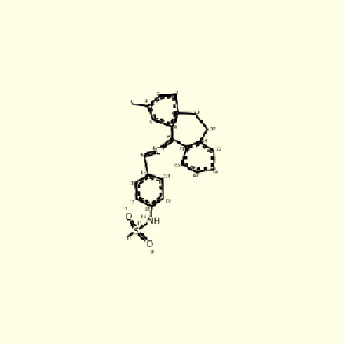 Cc1ccc2c(c1)C(=C=Cc1ccc(NS(C)(=O)=O)cc1)c1ccccc1CC2